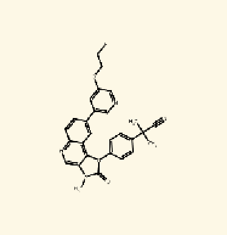 Cn1c(=O)n(-c2ccc(C(C)(C)C#N)cc2)c2c3cc(-c4cncc(OCCF)c4)ccc3ncc21